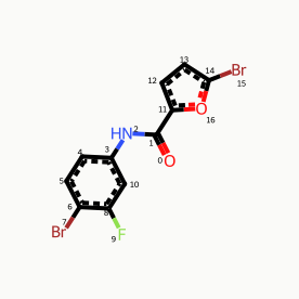 O=C(Nc1ccc(Br)c(F)c1)c1ccc(Br)o1